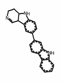 C1=NCCC2Nc3ccc(-c4ccc5c(c4)[nH]c4ccccc45)cc3C12